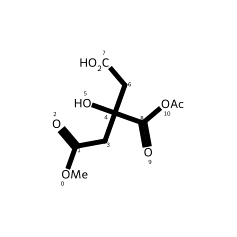 COC(=O)CC(O)(CC(=O)O)C(=O)OC(C)=O